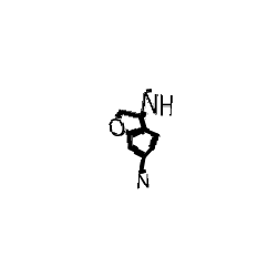 CNC1COc2cc(C#N)ccc21